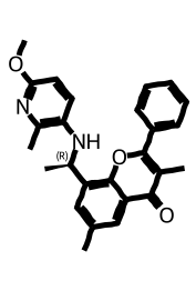 COc1ccc(N[C@H](C)c2cc(C)cc3c(=O)c(C)c(-c4ccccc4)oc23)c(C)n1